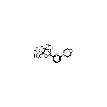 CC1(C)OB(c2cccc(N3CCOCC3)n2)OC1(C)C